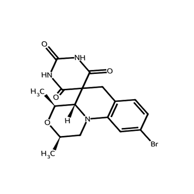 C[C@@H]1CN2c3cc(Br)ccc3CC3(C(=O)NC(=O)NC3=O)[C@H]2[C@H](C)O1